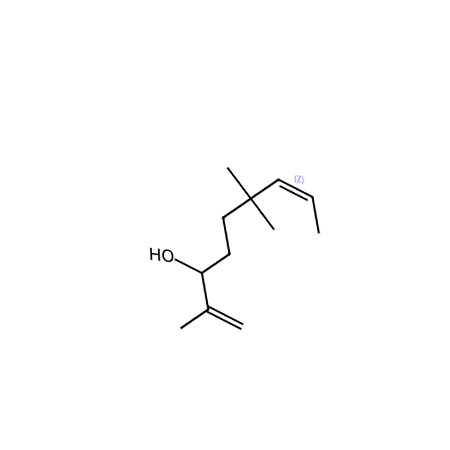 C=C(C)C(O)CCC(C)(C)/C=C\C